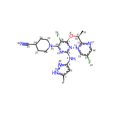 Cc1cc(Nc2nc(O[C@@H](C)c3ncc(F)cn3)c(F)c(N3CCC(C#N)CC3)n2)n[nH]1